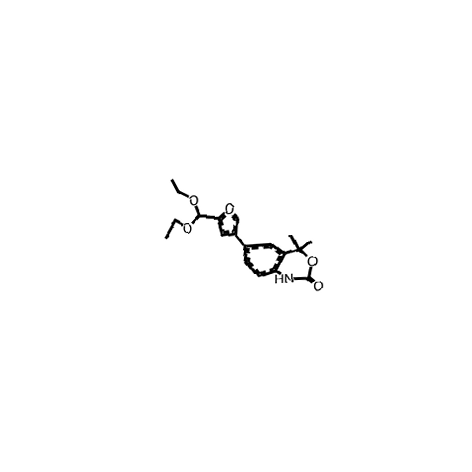 CCOC(OCC)c1cc(-c2ccc3c(c2)C(C)(C)OC(=O)N3)co1